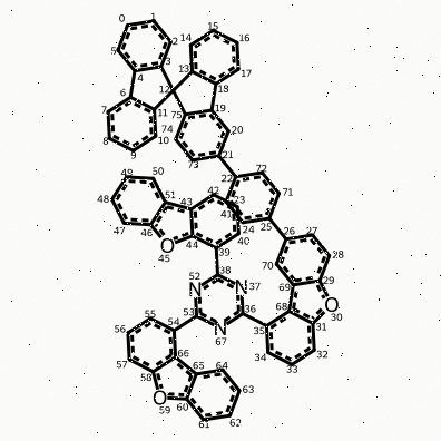 c1ccc2c(c1)-c1ccccc1C21c2ccccc2-c2cc(-c3ccc(-c4ccc5oc6cccc(-c7nc(-c8cccc9c8oc8ccccc89)nc(-c8cccc9oc%10ccccc%10c89)n7)c6c5c4)cc3)ccc21